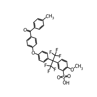 COc1ccc(C(c2ccc(Oc3ccc(C(=O)c4ccc(C)cc4)cc3)cc2)(C(F)(F)F)C(F)(F)F)cc1S(=O)(=O)O